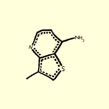 Cc1csc2c(N)ccnc12